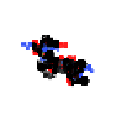 CCCC[C@@H](C(=O)N1CCC[C@@H]1C(=O)N[C@@H](CC(=O)O)C(=O)N[C@H](C(=O)N(C)[C@@H](Cc1ccccc1)C(=O)N[C@@H](CCCN)C(=O)N1CCC[C@@H]1C(=O)N[C@H](C=O)Cc1c[nH]c2ccccc12)C(C)C)N(C)C(=O)[C@H](Cc1ccccc1)N(C)C(=O)[C@H](Cc1ccccc1)NC(=O)CSC[C@H](NC(=O)[C@H](CC(C)C)NC(=O)[C@@H](N)Cc1ccc(O)cc1)C(=O)NCC(N)=O